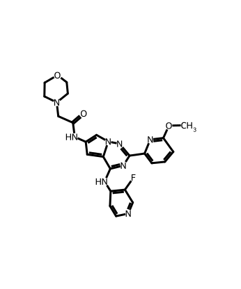 COc1cccc(-c2nc(Nc3ccncc3F)c3cc(NC(=O)CN4CCOCC4)cn3n2)n1